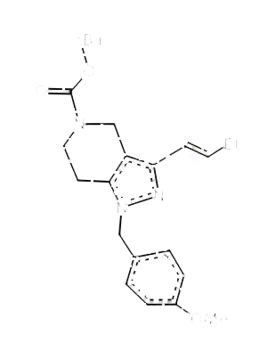 CC/C=C/c1nn(Cc2ccc(OC)cc2)c2c1CN(C(=O)OC(C)(C)C)CC2